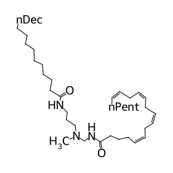 CCCCC/C=C\C/C=C\C/C=C\C/C=C\CCCC(=O)NCN(C)CCCNC(=O)CCCCCCCCCCCCCCCCCCC